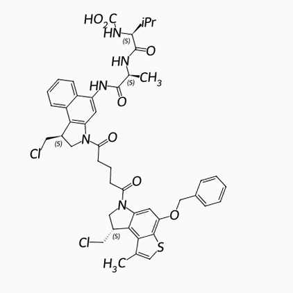 Cc1csc2c(OCc3ccccc3)cc3c(c12)[C@H](CCl)CN3C(=O)CCCC(=O)N1C[C@@H](CCl)c2c1cc(NC(=O)[C@H](C)NC(=O)[C@@H](NC(=O)O)C(C)C)c1ccccc21